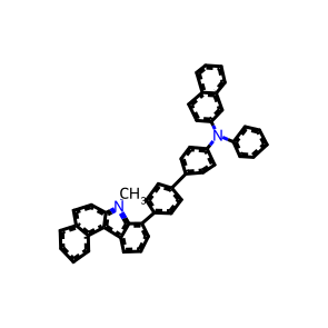 Cn1c2ccc3ccccc3c2c2cccc(-c3ccc(-c4ccc(N(c5ccccc5)c5ccc6ccccc6c5)cc4)cc3)c21